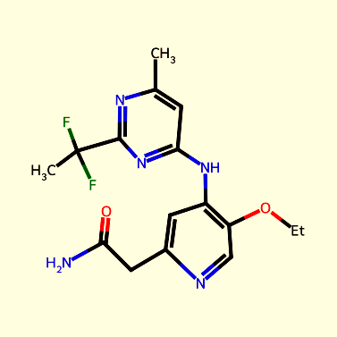 CCOc1cnc(CC(N)=O)cc1Nc1cc(C)nc(C(C)(F)F)n1